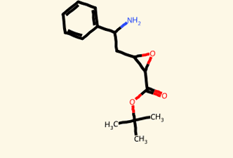 CC(C)(C)OC(=O)C1OC1CC(N)c1ccccc1